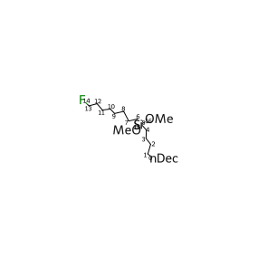 CCCCCCCCCCCCCC[Si](CCCCCCCCF)(OC)OC